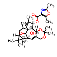 CC1=CC23C(=O)[C@@H](C=C4COC(C)(C)O[C@H]4[C@]2(O)[C@H]1OC(=O)c1nc(C)oc1C)[C@H]1[C@@H](CC3C)C1(C)C